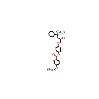 CCCCCCOc1ccc(C(=O)Oc2ccc(OCC(CC)C[C@@](F)(C(=O)O)C3CCCCC3)cc2)cc1